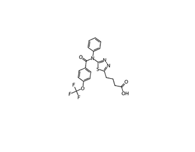 O=C(O)CCCc1nnc(N(C(=O)c2ccc(OC(F)(F)F)cc2)c2ccccc2)s1